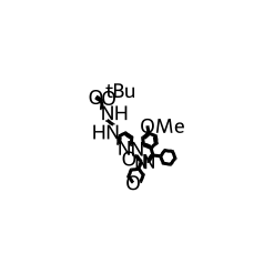 COc1ccc2c(c1)N(c1ccc(NCCNCC(=O)OC(C)(C)C)cn1)C(=O)N(C1CCOCC1)N=C2C1CCCCC1